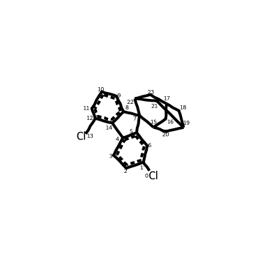 Clc1ccc2c(c1)C1(c3cccc(Cl)c3-2)C2CC3CC(C2)CC1C3